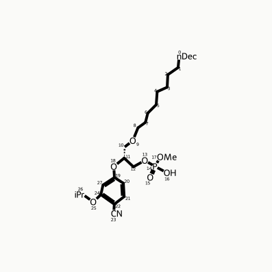 CCCCCCCCCCCCCCCCCCOC[C@H](COP(=O)(O)OC)Oc1ccc(C#N)c(OC(C)C)c1